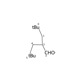 CC(C)(C)CC([C]=O)CC(C)(C)C